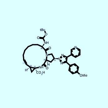 COc1ccc(-c2nn([C@H]3C[C@H]4C(=O)N[C@@]5(C(=O)O)C[C@H]5/C=C\CCCCC[C@@H](NC(=O)OC(C)(C)C)C(=O)N4C3)nc2-c2cccnc2)cc1